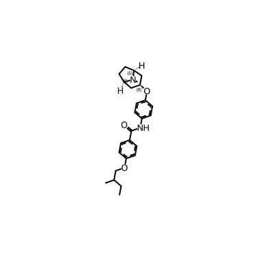 CCC(C)COc1ccc(C(=O)Nc2ccc(O[C@H]3C[C@H]4CC[C@@H](C3)N4C)cc2)cc1